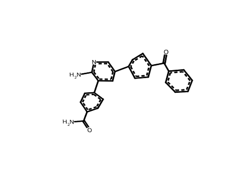 NC(=O)c1ccc(-c2cc(-c3ccc(C(=O)c4ccccc4)cc3)cnc2N)cc1